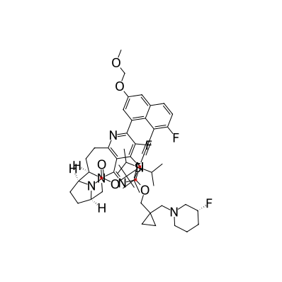 COCOc1cc(-c2nc3c4c(nc(OCC5(CN6CCC[C@@H](F)C6)CC5)nc4c2F)N2C[C@H]4CC[C@@H]([C@H]2CC3)N4C(=O)OC(C)(C)C)c2c(C#C[Si](C(C)C)(C(C)C)C(C)C)c(F)ccc2c1